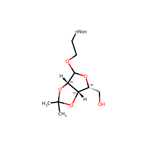 CCCCCCCCCCCOC1O[C@H](CO)[C@@H]2OC(C)(C)O[C@H]12